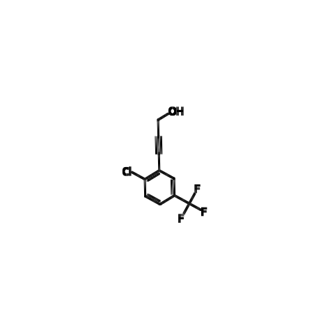 OCC#Cc1cc(C(F)(F)F)ccc1Cl